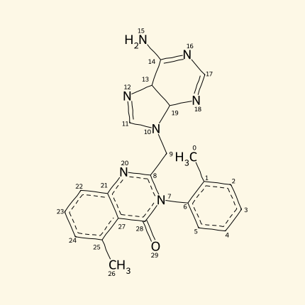 Cc1ccccc1-n1c(CN2C=NC3C(N)=NC=NC32)nc2cccc(C)c2c1=O